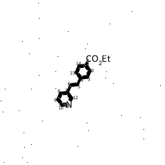 CCOC(=O)c1ccc(/C=C/c2cccnc2)cc1